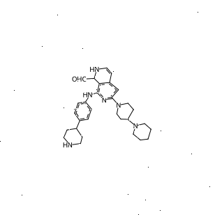 O=CC1NC=Cc2cc(N3CCC(N4CCCCC4)CC3)nc(Nc3ccc(C4CCNCC4)cc3)c21